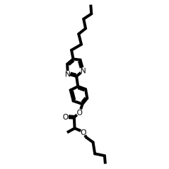 CCCCCCCc1cnc(-c2ccc(OC(=O)C(C)OCCCCC)cc2)nc1